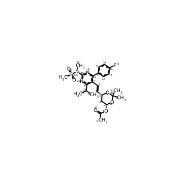 CC(=O)O[C@@H]1C[C@@H](C=Cc2c(-c3ccc(F)cc3)nc(N(C)S(C)(=O)=O)nc2C(C)C)OC(C)(C)O1